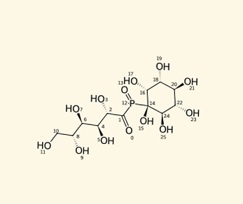 O=C([C@@H](O)[C@@H](O)[C@H](O)[C@H](O)CO)[P](=O)[C@]1(O)[C@H](O)[C@H](O)[C@@H](O)[C@H](O)[C@H]1O